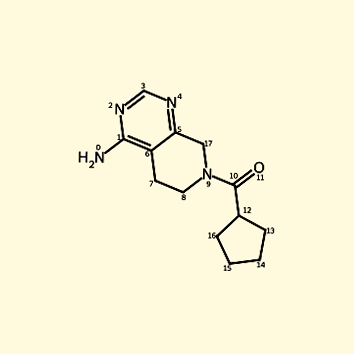 Nc1ncnc2c1CCN(C(=O)C1CCCC1)C2